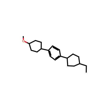 CCC1CCC(c2ccc(C3CCC(OC)CC3)cc2)CC1